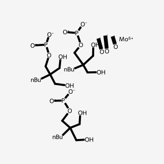 CCCCC(CO)(CO)COP([O-])[O-].CCCCC(CO)(CO)COP([O-])[O-].CCCCC(CO)(CO)COP([O-])[O-].[C]=O.[C]=O.[C]=O.[Mo+6]